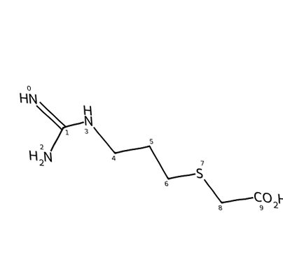 N=C(N)NCCCSCC(=O)O